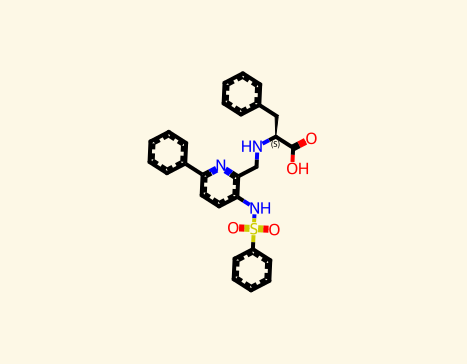 O=C(O)[C@H](Cc1ccccc1)NCc1nc(-c2ccccc2)ccc1NS(=O)(=O)c1ccccc1